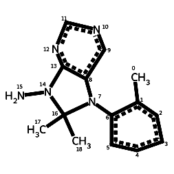 Cc1ccccc1N1c2cncnc2N(N)C1(C)C